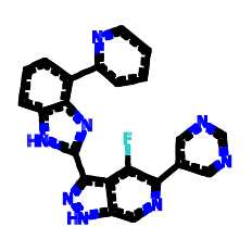 Fc1c(-c2cncnc2)ncc2[nH]nc(-c3nc4c(-c5ccccn5)cccc4[nH]3)c12